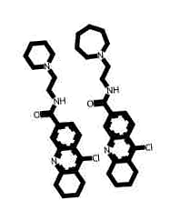 O=C(NCCN1CCCCC1)c1ccc2c(Cl)c3c(nc2c1)CCCC3.O=C(NCCN1CCCCCC1)c1ccc2c(Cl)c3c(nc2c1)CCCC3